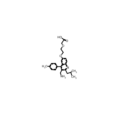 Cc1ccc(-c2c(CN)c(CC(C)C)nc3ccc(OCCOCC(=O)O)cc23)cc1